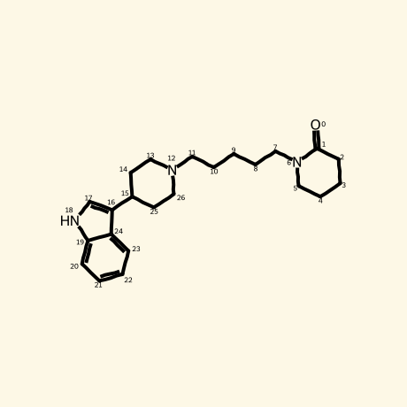 O=C1CCCCN1CCCCCN1CCC(c2c[nH]c3ccccc23)CC1